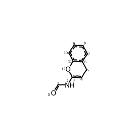 O=CNC1=CCc2ccccc2O1